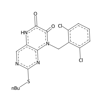 CCCCSc1ncc2[nH]c(=O)c(=O)n(Cc3c(Cl)cccc3Cl)c2n1